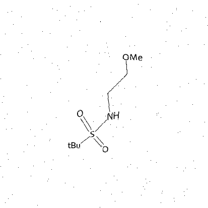 COCCNS(=O)(=O)C(C)(C)C